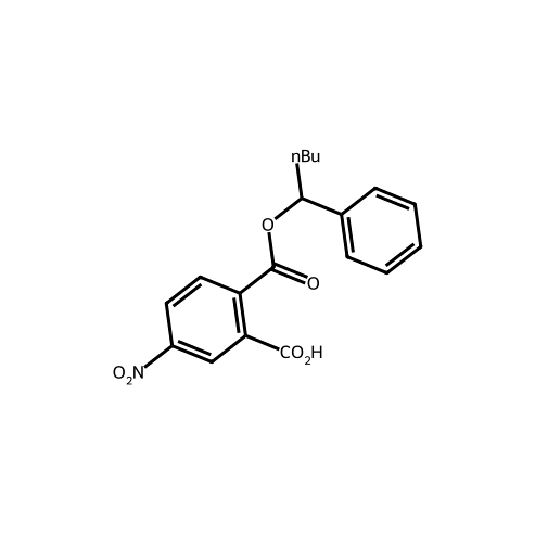 CCCCC(OC(=O)c1ccc([N+](=O)[O-])cc1C(=O)O)c1ccccc1